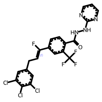 O=C(NNc1ncccn1)c1ccc(/C(F)=C/Cc2cc(Cl)c(Cl)c(Cl)c2)cc1C(F)(F)F